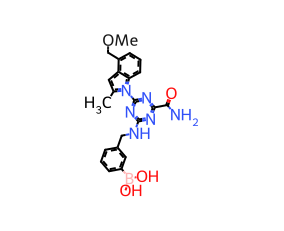 COCc1cccc2c1cc(C)n2-c1nc(NCc2cccc(B(O)O)c2)nc(C(N)=O)n1